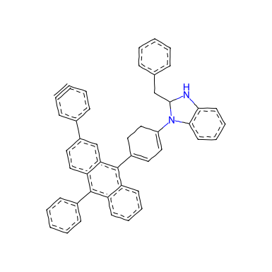 c1ccc(-c2ccc3c(-c4ccccc4)c4ccccc4c(C4=CC=C(N5c6ccccc6NC5Cc5ccccc5)CC4)c3c2)cc#1